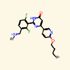 CC(C)CCCOc1ccc(-c2cc(=O)[nH]c(-c3c(F)ccc(CNC(C)C)c3F)n2)cn1